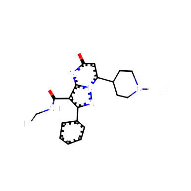 CC(C)CNC(=O)c1c(-c2ccccc2)nn2c(C3CCN(C(=O)O)CC3)cc(=O)[nH]c12